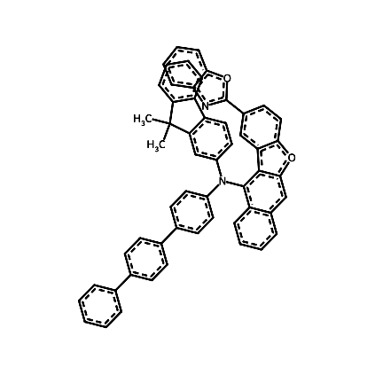 CC1(C)c2ccccc2-c2ccc(N(c3ccc(-c4ccc(-c5ccccc5)cc4)cc3)c3c4ccccc4cc4oc5ccc(-c6nc7ccccc7o6)cc5c34)cc21